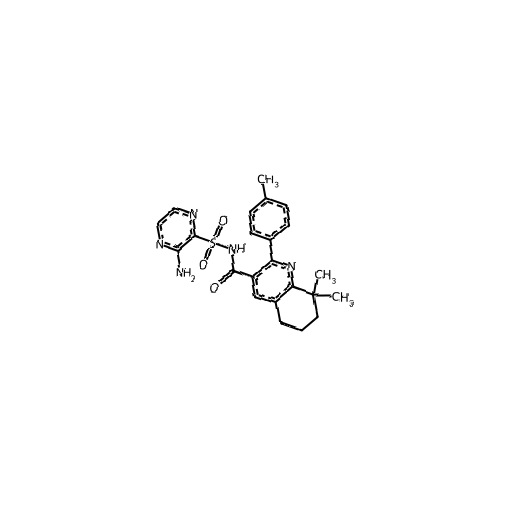 Cc1ccc(-c2nc3c(cc2C(=O)NS(=O)(=O)c2nccnc2N)CCCC3(C)C)cc1